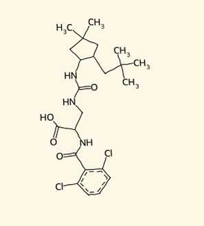 CC(C)(C)CC1CC(C)(C)CC1NC(=O)NCC(NC(=O)c1c(Cl)cccc1Cl)C(=O)O